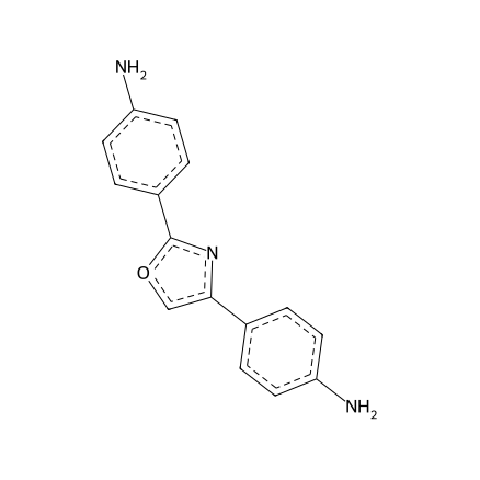 Nc1ccc(-c2coc(-c3ccc(N)cc3)n2)cc1